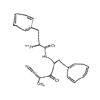 [N-]=[N+]=C(C=O)C(=O)C(Cc1ccccc1)NC(=O)C(N)Cc1ccccc1